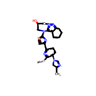 COc1nc(-c2csc(N3CC(O)Cn4nc5c(c43)CCCC5)n2)ccc1N1C=NC(C)C1